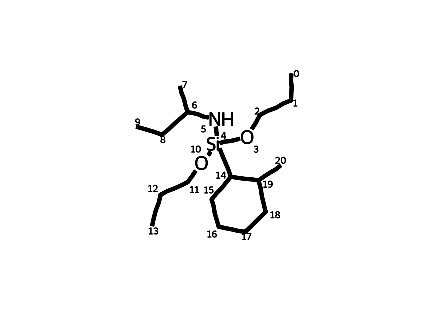 CCCO[Si](NC(C)CC)(OCCC)C1CCCCC1C